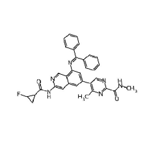 CNC(=O)c1ncc(-c2cc(N=C(c3ccccc3)c3ccccc3)c3cnc(NC(=O)C4CC4F)cc3c2)c(C)n1